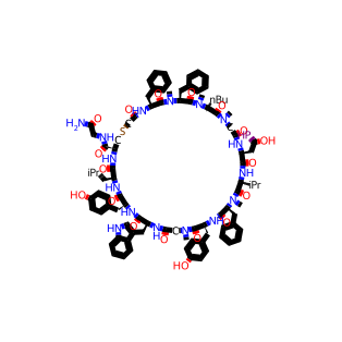 CCCC[C@H]1C(=O)N(C)CC(=O)N[C@@H](CC(O)=P)C(=O)N[C@@H](C(C)C)C(=O)N(C)[C@@H](Cc2ccccc2)C(=O)N[C@H](Cc2ccc(O)cc2)C(=O)N(C)CC(=O)N[C@@H](Cc2c[nH]c3ccccc23)C(=O)N[C@H](Cc2ccc(O)cc2)C(=O)N[C@@H](CC(C)C)C(=O)N[C@H](C(=O)NCC(N)=O)CSCC(=O)N[C@@H](Cc2ccccc2)C(=O)N(C)[C@@H](Cc2ccccc2)C(=O)N1C